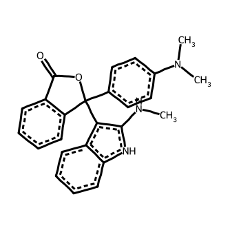 CNc1[nH]c2ccccc2c1C1(c2ccc(N(C)C)cc2)OC(=O)c2ccccc21